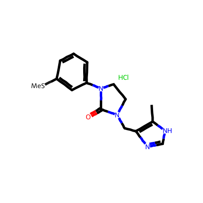 CSc1cccc(N2CCN(Cc3nc[nH]c3C)C2=O)c1.Cl